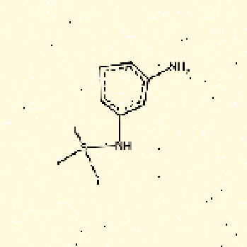 CS(I)(I)Nc1cccc(N)c1